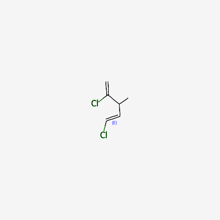 C=C(Cl)C(C)/C=C/Cl